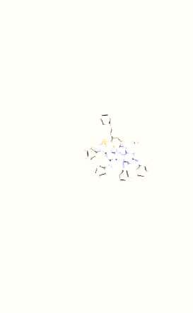 O=S(=O)([O-])C1=C(C=Cc2ccccc2)C=CC(Nc2nc(Nc3ccccc3)nc(Nc3ccccc3)n2)(Nc2nc(Nc3ccccc3)nc(Nc3ccccc3)n2)C1.[Na+]